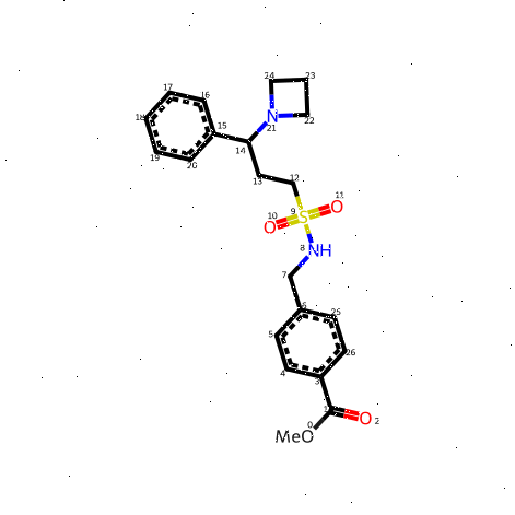 COC(=O)c1ccc(CNS(=O)(=O)CCC(c2ccccc2)N2CCC2)cc1